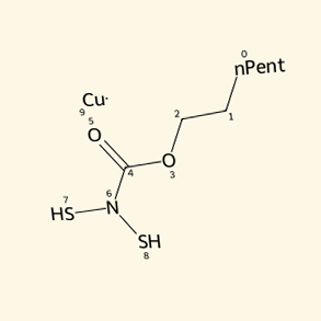 CCCCCCCOC(=O)N(S)S.[Cu]